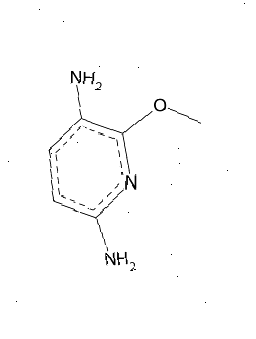 COc1nc(N)ccc1N